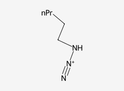 CCCCCN[N+]#N